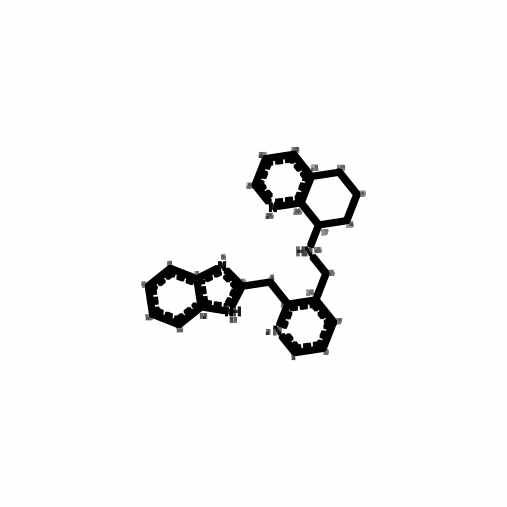 c1cnc(Cc2nc3ccccc3[nH]2)c(CNC2CCCc3cccnc32)c1